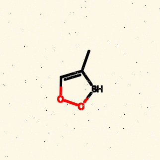 CC1=COOB1